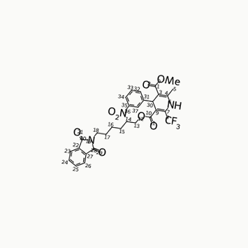 COC(=O)C1=C(C)NC(C(F)(F)F)=C(C(=O)OCCCCCCN2C(=O)c3ccccc3C2=O)C1c1cccc([N+](=O)[O-])c1